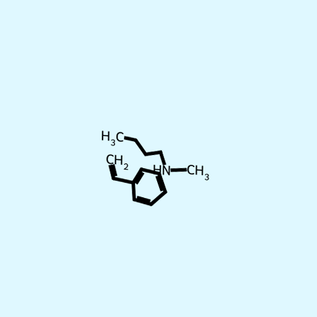 C=Cc1ccccc1.CCCCNC